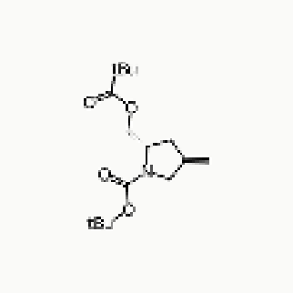 C=C1C[C@@H](COC(=O)C(C)(C)C)N(C(=O)OC(C)(C)C)C1